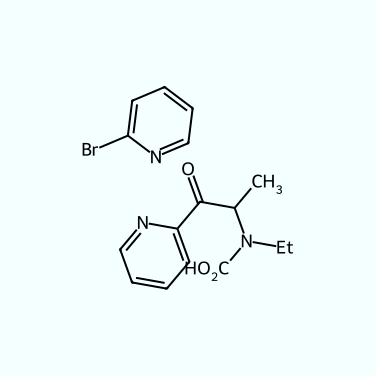 Brc1ccccn1.CCN(C(=O)O)C(C)C(=O)c1ccccn1